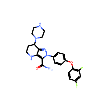 NC(=O)c1c2c(nn1-c1ccc(Oc3ccc(F)cc3F)cc1)C(N1CCNCC1)CCN2